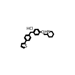 Cl.c1csc(-c2ccc(Cc3ccc(OCC4CCCCN4)cc3)cc2)c1